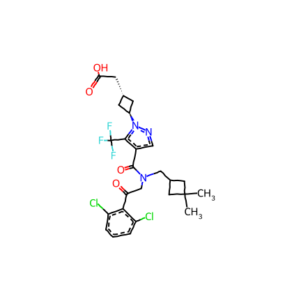 CC1(C)CC(CN(CC(=O)c2c(Cl)cccc2Cl)C(=O)c2cnn([C@H]3C[C@H](CC(=O)O)C3)c2C(F)(F)F)C1